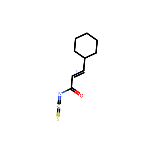 O=C(/C=C/C1CCCCC1)N=C=S